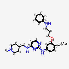 COc1ccc(Nc2nccc(NCC3CCN(C)CC3)n2)cc1OCCCNc1ccccc1